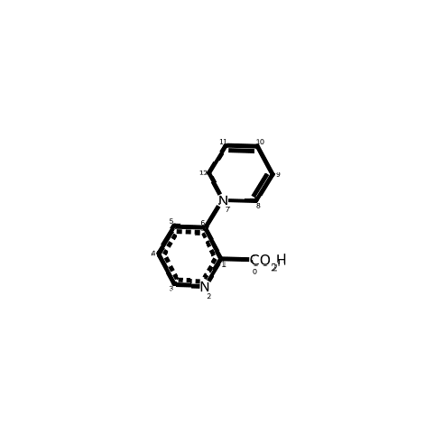 O=C(O)c1ncccc1N1C=CC=CC1